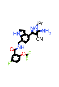 CC(C)n1nc(-c2ccc(CNC(=O)c3cc(F)ccc3OC(F)F)c3[nH]ccc23)c(C#N)c1N